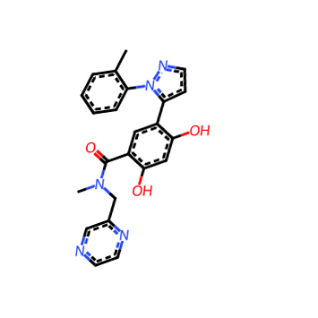 Cc1ccccc1-n1nccc1-c1cc(C(=O)N(C)Cc2cnccn2)c(O)cc1O